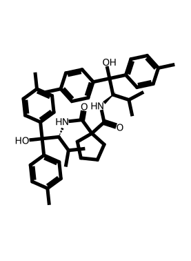 Cc1ccc(C(O)(c2ccc(C)cc2)[C@H](NC(=O)C2(C(=O)N[C@H](C(C)C)C(O)(c3ccc(C)cc3)c3ccc(C)cc3)CCCC2)C(C)C)cc1